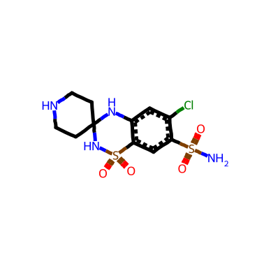 NS(=O)(=O)c1cc2c(cc1Cl)NC1(CCNCC1)NS2(=O)=O